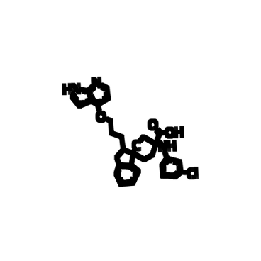 O=C(O)C1(Nc2cccc(Cl)c2)CCC2(CC1)c1ccccc1CC2CCCOc1ccnc2[nH]ccc12